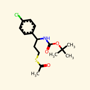 CC(=O)SCCC(NC(=O)OC(C)(C)C)c1ccc(Cl)cc1